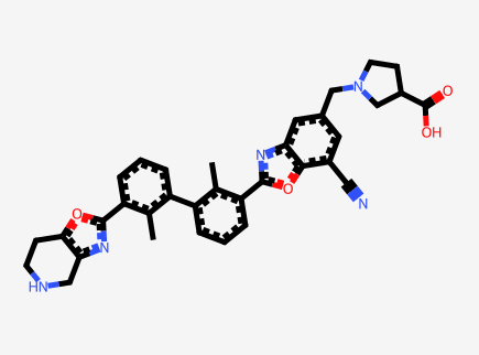 Cc1c(-c2nc3c(o2)CCNC3)cccc1-c1cccc(-c2nc3cc(CN4CCC(C(=O)O)C4)cc(C#N)c3o2)c1C